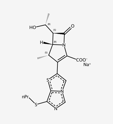 CCCSc1ncn2cc(C3=C(C(=O)[O-])N4C(=O)[C@H]([C@@H](C)O)[C@H]4[C@H]3C)sc12.[Na+]